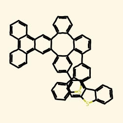 c1ccc2c(c1)-c1cc3c4ccccc4c4ccccc4c3cc1-c1ccc(-c3ccc4sc5ccccc5c4c3)cc1-c1c(-c3ccc4sc5ccccc5c4c3)cccc1-2